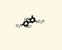 Cc1cc(S(=O)(=O)O)cc2c1[nH]c1cc([N+](=O)[O-])ccc12.Cl